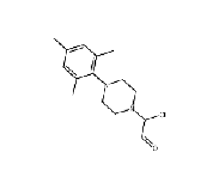 Cc1cc(C)c(N2CCN(C(Cl)C=O)CC2)c(C)c1